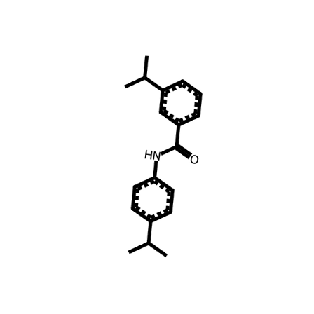 CC(C)c1ccc(NC(=O)c2cccc(C(C)C)c2)cc1